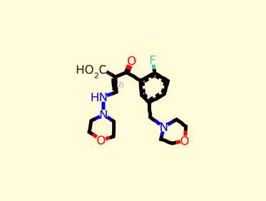 O=C(O)/C(=C\NN1CCOCC1)C(=O)c1cc(CN2CCOCC2)ccc1F